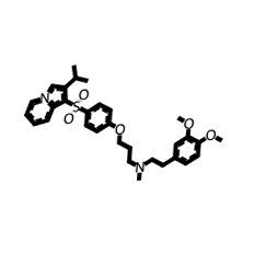 COc1ccc(CCN(C)CCCOc2ccc(S(=O)(=O)c3c(C(C)C)cn4ccccc34)cc2)cc1OC